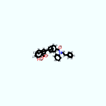 O=C(C1CC2CC3CC(C45CC6CCCC(C(=O)O)(C4)C(C6)C5)(C2)CC3C1)N(CCc1ccccc1)C1CCCCC1